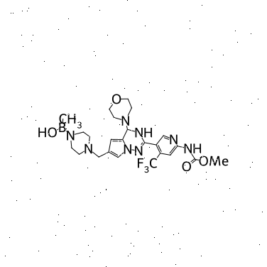 COC(=O)Nc1cc(C(F)(F)F)c(C2=Nn3cc(CN4CCN(B(C)O)CC4)cc3C(N3CCOCC3)N2)cn1